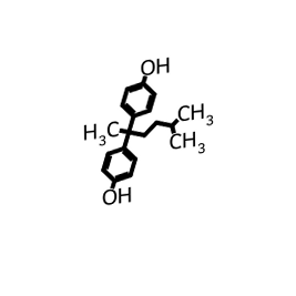 CC(C)CCC(C)(c1ccc(O)cc1)c1ccc(O)cc1